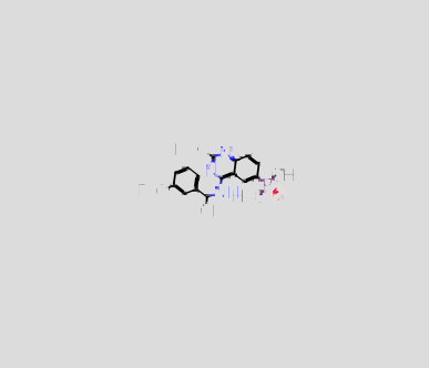 Cc1nc(NC(C)c2cccc(C(F)(F)F)c2)c2cc(P(C)(C)=O)ccc2n1